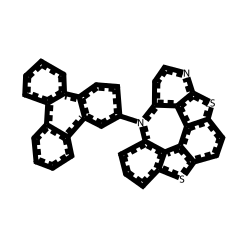 c1ccc2c(c1)c1ccccc1c1cc(-n3c4cccc5sc6ccc7sc8nccc3c8c7c6c54)ccc21